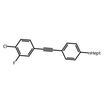 CCCCCCCc1ccc(C#Cc2ccc(Cl)c(F)c2)cc1